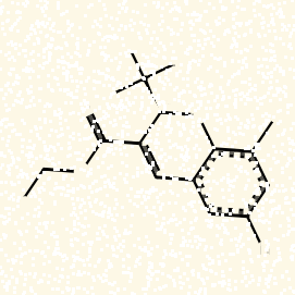 Cc1cc(Br)cc2c1O[C@H](C(F)(F)F)C(C(=O)OCI)=C2